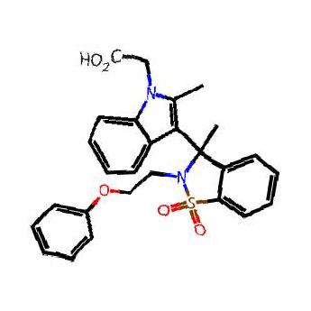 Cc1c(C2(C)c3ccccc3S(=O)(=O)N2CCOc2ccccc2)c2ccccc2n1CC(=O)O